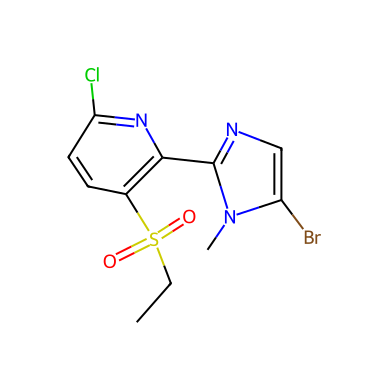 CCS(=O)(=O)c1ccc(Cl)nc1-c1ncc(Br)n1C